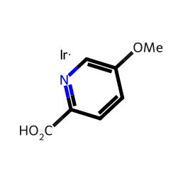 COc1ccc(C(=O)O)nc1.[Ir]